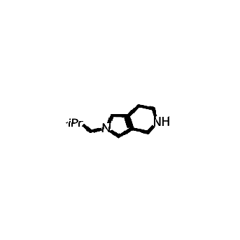 C[C](C)CN1CC2=C(CNCC2)C1